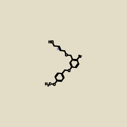 COc1ccc(COc2ccc(Br)c(COC/C=C/CO)c2)cc1